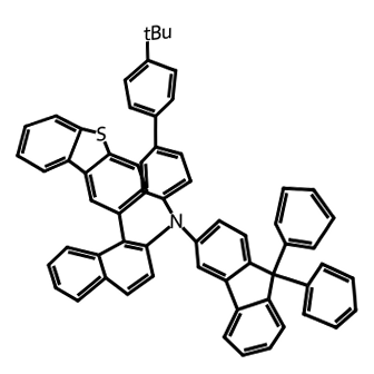 CC(C)(C)c1ccc(-c2ccc(N(c3ccc4c(c3)-c3ccccc3C4(c3ccccc3)c3ccccc3)c3ccc4ccccc4c3-c3ccc4sc5ccccc5c4c3)cc2)cc1